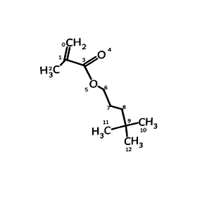 C=C(C)C(=O)OCCCC(C)(C)C